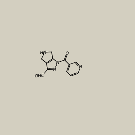 O=Cc1nn(C(=O)c2cccnc2)c2c1CNC2